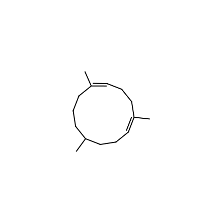 CC1=CCCC(C)CCCC(C)=CCC1